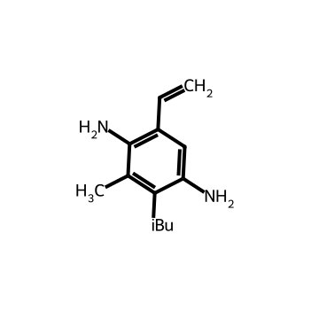 C=Cc1cc(N)c(C(C)CC)c(C)c1N